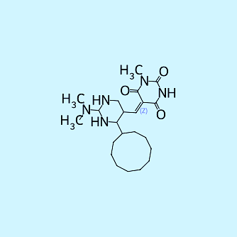 CN1C(=O)NC(=O)/C(=C/C2CNC(N(C)C)NC2C2CCCCCCCCC2)C1=O